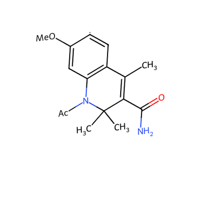 COc1[c]cc2c(c1)N(C(C)=O)C(C)(C)C(C(N)=O)=C2C